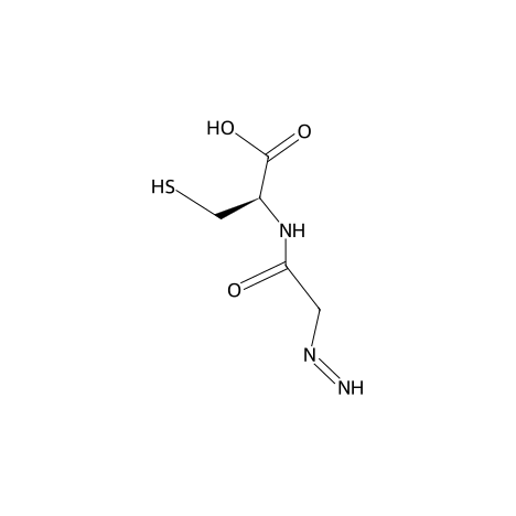 N=NCC(=O)N[C@@H](CS)C(=O)O